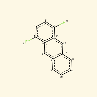 Fc1[c]cc(F)c2cc3c[c]ccc3cc12